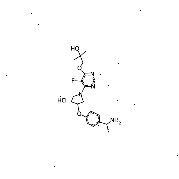 C[C@H](N)c1ccc(OC2CCN(c3ncnc(OCC(C)(C)O)c3F)C2)cc1.Cl